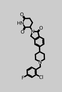 O=C1CCC(N2Cc3cc(C4CCN(Cc5ccc(F)cc5Cl)CC4)ccc3C2=O)C(=O)N1